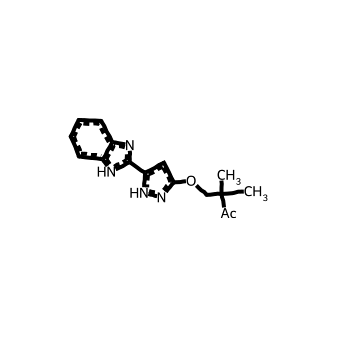 CC(=O)C(C)(C)COc1cc(-c2nc3ccccc3[nH]2)[nH]n1